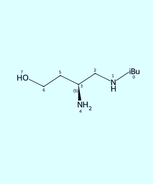 CCC(C)NC[C@@H](N)CCO